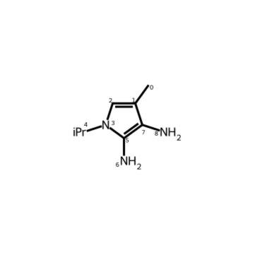 Cc1cn(C(C)C)c(N)c1N